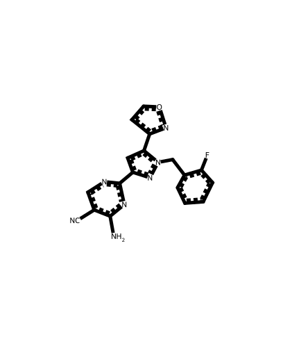 N#Cc1cnc(-c2cc(-c3ccon3)n(Cc3ccccc3F)n2)nc1N